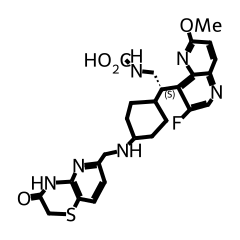 COc1ccc2ncc(F)c([C@@H](CNC(=O)O)C3CCC(NCc4ccc5c(n4)NC(=O)CS5)CC3)c2n1